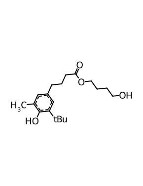 Cc1cc(CCCC(=O)OCCCCO)cc(C(C)(C)C)c1O